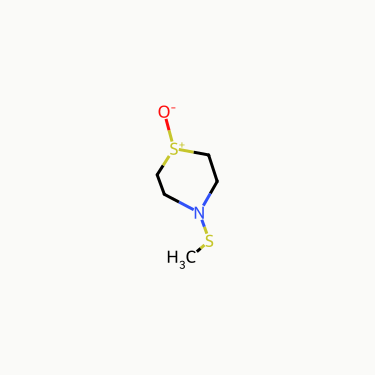 CSN1CC[S+]([O-])CC1